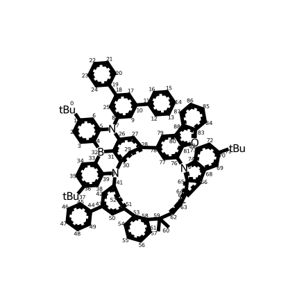 CC(C)(C)c1ccc2c(c1)N(c1cc(-c3ccccc3)cc(-c3ccccc3)c1)c1cc3cc4c1B2c1ccc(C(C)(C)C)cc1N4c1cc(-c2ccccc2)cc(c1)-c1ccccc1C(C)(C)c1ccc2c(c1)c1cc(C(C)(C)C)ccc1n2-c1cc-3cc2c1oc1ccccc12